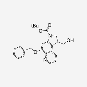 CC(C)(C)OC(=O)N1CC(CO)c2c1cc(OCc1ccccc1)c1ncccc21